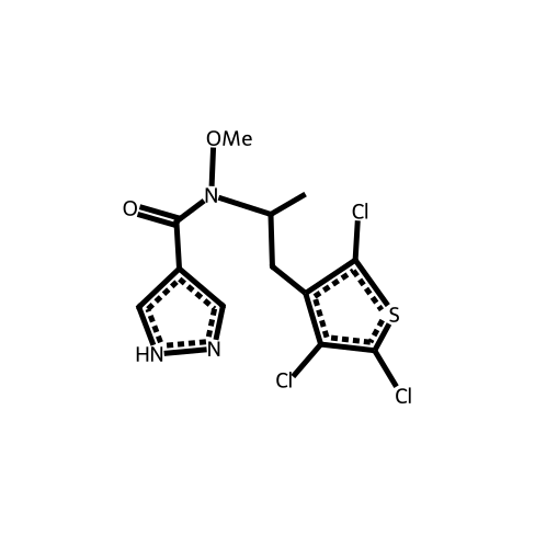 CON(C(=O)c1cn[nH]c1)C(C)Cc1c(Cl)sc(Cl)c1Cl